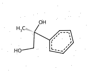 C[C@@](O)(CO)c1ccccc1